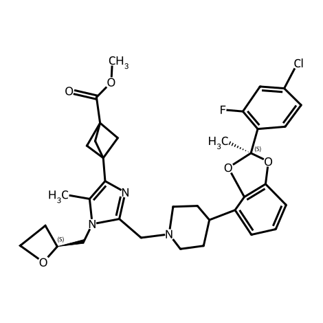 COC(=O)C12CC(c3nc(CN4CCC(c5cccc6c5O[C@@](C)(c5ccc(Cl)cc5F)O6)CC4)n(C[C@@H]4CCO4)c3C)(C1)C2